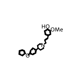 COc1cc(/C=C/CN2CCC(c3ccc(Oc4ccccc4)cc3)CC2)ccc1O